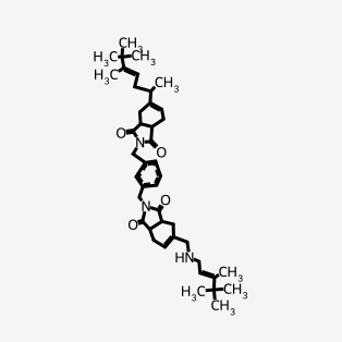 C/C(=C\CNCC1=CCC2C(=O)N(Cc3cccc(CN4C(=O)C5CC=C(C(C)C/C=C(\C)C(C)(C)C)CC5C4=O)c3)C(=O)C2C1)C(C)(C)C